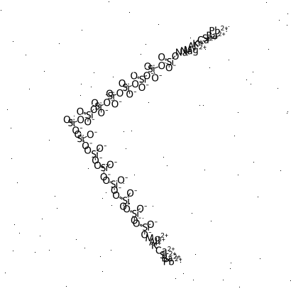 O=[Si]([O-])[O-].O=[Si]([O-])[O-].O=[Si]([O-])[O-].O=[Si]([O-])[O-].O=[Si]([O-])[O-].O=[Si]([O-])[O-].O=[Si]([O-])[O-].O=[Si]([O-])[O-].O=[Si]([O-])[O-].O=[Si]([O-])[O-].O=[Si]([O-])[O-].O=[Si]([O-])[O-].O=[Si]([O-])[O-].O=[Si]([O-])[O-].O=[Si]([O-])[O-].[Al+3].[Al+3].[Ba+2].[Ba+2].[Ca+2].[Ca+2].[K+].[K+].[Mg+2].[Mg+2].[Na+].[Na+].[Pb+2].[Pb+2].[Sr+2].[Sr+2]